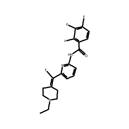 CCN1CCC(=C(F)c2cccc(NC(=O)c3ccc(F)c(F)c3F)n2)CC1